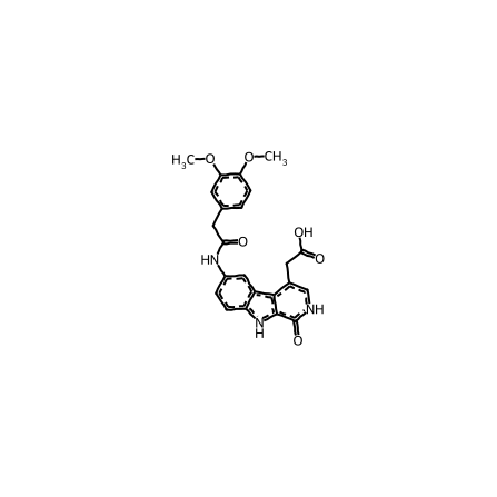 COc1ccc(CC(=O)Nc2ccc3[nH]c4c(=O)[nH]cc(CC(=O)O)c4c3c2)cc1OC